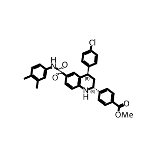 COC(=O)c1ccc([C@H]2C[C@H](c3ccc(Cl)cc3)c3cc(S(=O)(=O)Nc4ccc(C)c(C)c4)ccc3N2)cc1